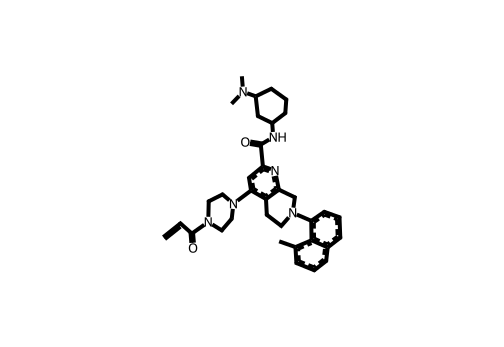 C=CC(=O)N1CCN(c2cc(C(=O)NC3CCCC(N(C)C)C3)nc3c2CCN(c2cccc4cccc(C)c24)C3)CC1